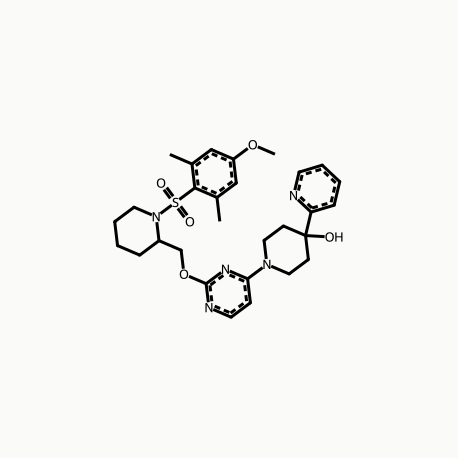 COc1cc(C)c(S(=O)(=O)N2CCCCC2COc2nccc(N3CCC(O)(c4ccccn4)CC3)n2)c(C)c1